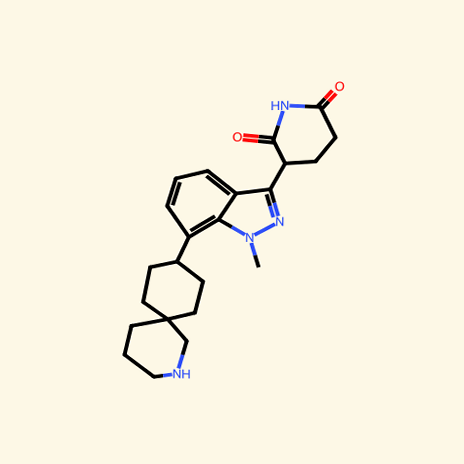 Cn1nc(C2CCC(=O)NC2=O)c2cccc(C3CCC4(CCCNC4)CC3)c21